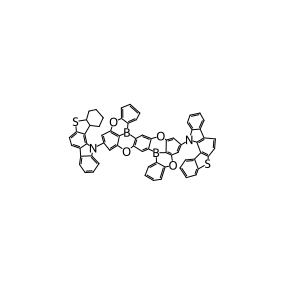 c1ccc2c(c1)Oc1cc(-n3c4ccccc4c4ccc5c(c43)C3CCCCC3S5)cc3c1B2c1cc2c(cc1O3)B1c3ccccc3Oc3cc(-n4c5ccccc5c5ccc6sc7ccccc7c6c54)cc(c31)O2